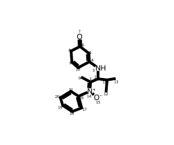 CC(C(NC1=CC(=O)CC=C1)C(C)C)=[N+]([O-])c1ccccc1